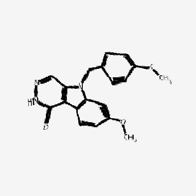 COc1ccc2c3c(=O)[nH]ncc3n(Cc3ccc(SC)cc3)c2c1